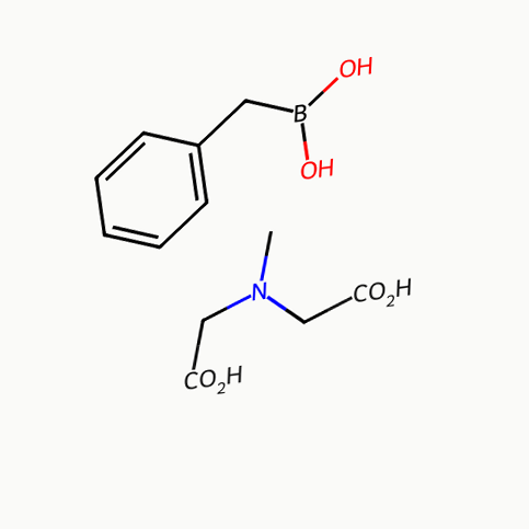 CN(CC(=O)O)CC(=O)O.OB(O)Cc1ccccc1